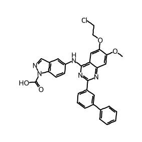 COc1cc2nc(-c3cccc(-c4ccccc4)c3)nc(Nc3ccc4c(cnn4C(=O)O)c3)c2cc1OCCCl